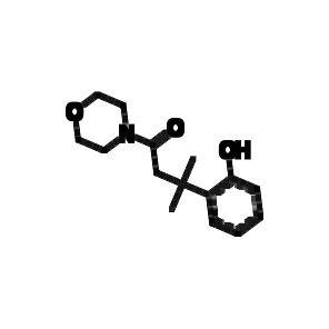 CC(C)(CC(=O)N1CCOCC1)c1ccccc1O